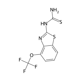 NC(=S)Nc1nc2c(OC(F)(F)F)cccc2s1